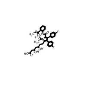 COC(=O)c1ccccc1NC(=O)c1c(-c2ccc(F)cc2)c(-c2ccc(F)cc2)c(CCC(O)CC(O)CC(=O)O)n1C(C)C